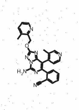 Cc1cnccc1-c1c(-c2ccccc2C#N)nc(N)n2nc(OCc3ncccc3C)nc12